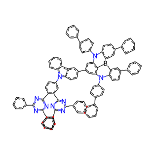 c1ccc(-c2ccc(N3c4ccc(-c5ccccc5)cc4B4c5cc(-c6ccccc6)ccc5N(c5ccc(-c6ccccc6)cc5)c5cc(-c6ccc7c(c6)c6ccccc6n7-c6ccc(-c7nc(-c8ccccc8)nc(-c8ccccc8)n7)c(-c7nc(-c8ccccc8)nc(-c8ccccc8)n7)c6)cc3c54)cc2)cc1